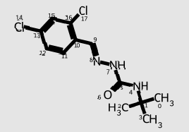 CC(C)(C)NC(=O)N/N=C/c1ccc(Cl)cc1Cl